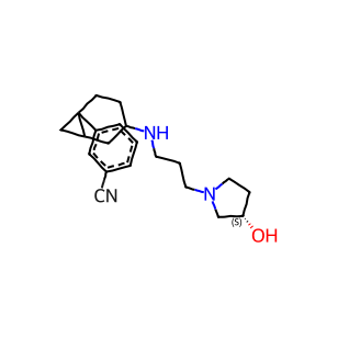 N#Cc1cccc(C23CCC(NCCCN4CC[C@H](O)C4)CC2C3)c1